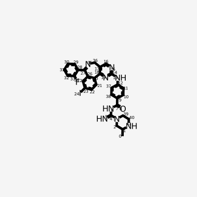 CC1CN(C(=N)NC(=O)c2ccc(Nc3ncc4c(n3)-c3ccc(I)cc3C(c3ccccc3F)=NC4)cc2)CCN1